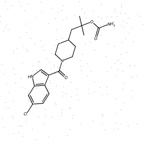 CC(C)(CC1CCN(C(=O)c2c[nH]c3cc(Cl)ccc23)CC1)OC(N)=O